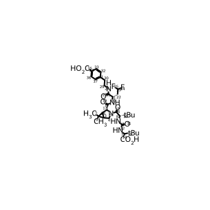 CC1(C)C2CN(C(=O)[C@@H](NC(=O)N[C@H](C(=O)O)C(C)(C)C)C(C)(C)C)[C@H](C(=O)N[C@@H](CC(F)F)C(=O)NCCc3ccc(C(=O)O)cc3)C21